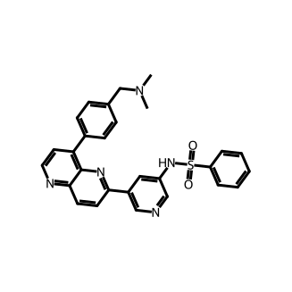 CN(C)Cc1ccc(-c2ccnc3ccc(-c4cncc(NS(=O)(=O)c5ccccc5)c4)nc23)cc1